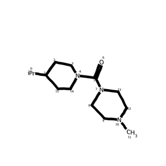 CC(C)C1CCN(C(=O)N2CCN(C)CC2)CC1